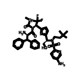 COC(=O)N(C(=O)[C@@H](N)C(c1ccccc1)c1ccccc1)[C@H](c1ccc([C@@H](CO)N(CCC(C)(C)C)S(=O)(=O)c2ccc(N)cn2)s1)C(F)(F)F